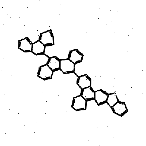 c1ccc2c(c1)cc(-c1cc3c4ccccc4c(-c4ccc5c(c4)c4ccccc4c4cc6c(cc54)sc4ccccc46)cc3c3ccccc13)c1ccccc12